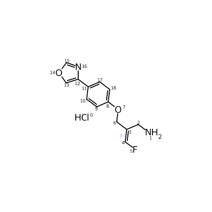 Cl.NC/C(=C\F)COc1ccc(-c2cocn2)cc1